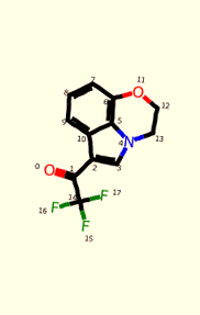 O=C(c1cn2c3c(cccc13)OCC2)C(F)(F)F